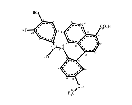 CC(C)(C)c1ccc([S+]([O-])Nc2ccc(OC(F)(F)F)cc2-c2ccc(C(=O)O)c3ncccc23)cc1F